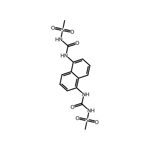 CS(=O)(=O)NC(=O)Nc1cccc2c(NC(=O)NS(C)(=O)=O)cccc12